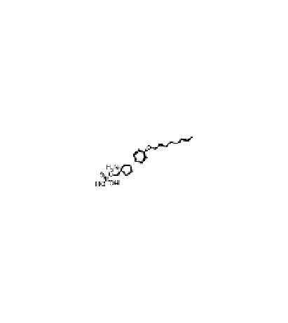 CCCCCCCCOc1ccc([C@@H]2CC[C@@](N)(COP(=O)(O)O)C2)cc1